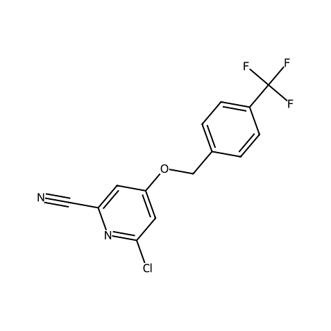 N#Cc1cc(OCc2ccc(C(F)(F)F)cc2)cc(Cl)n1